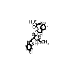 C=C(C#N)C(=O)NCC(CC1CCCCC1)NC(=O)[C@H](Cc1nc2ccc(Cl)cc2s1)NC(=O)CC